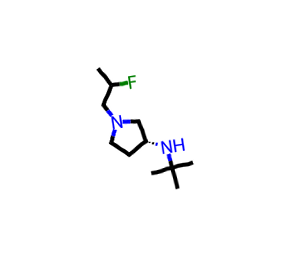 CC(F)CN1CC[C@@H](NC(C)(C)C)C1